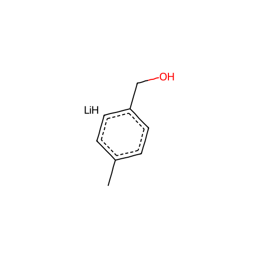 Cc1ccc(CO)cc1.[LiH]